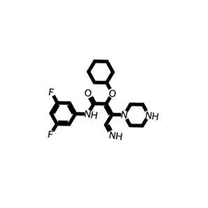 N=C/C(=C(/OC1CCCCC1)C(=O)Nc1cc(F)cc(F)c1)N1CCNCC1